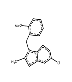 COc1ccccc1Cn1c(C)cc2cc(Cl)ccc21